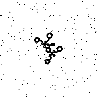 O=P(OCc1ccccc1)(OCc1ccccc1)Oc1ccc(P(=O)(OCc2ccccc2)OCc2ccccc2)cc1CO